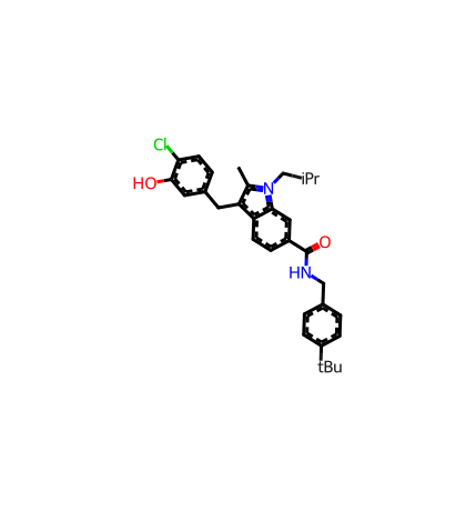 Cc1c(Cc2ccc(Cl)c(O)c2)c2ccc(C(=O)NCc3ccc(C(C)(C)C)cc3)cc2n1CC(C)C